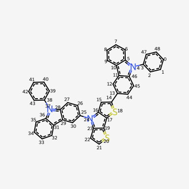 c1ccc(-n2c3ccccc3c3cc(-c4cc5c(s4)c4sccc4n5-c4ccc5c(c4)c4ccccc4n5-c4ccccc4)ccc32)cc1